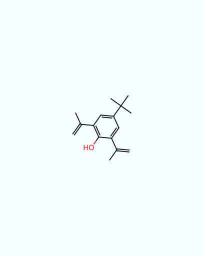 C=C(C)c1cc(C(C)(C)C)cc(C(=C)C)c1O